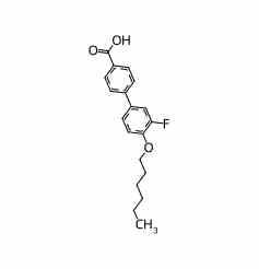 CCCCCCOc1ccc(-c2ccc(C(=O)O)cc2)cc1F